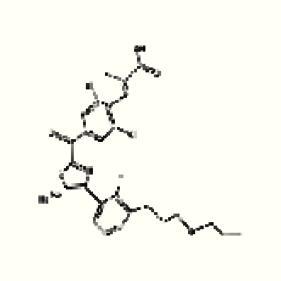 CCCOCCCc1cccc(-c2csc(C(=O)c3cc(Cl)c(C=C(C)C(=O)O)c(Cl)c3)n2)c1F.[Na].[Na]